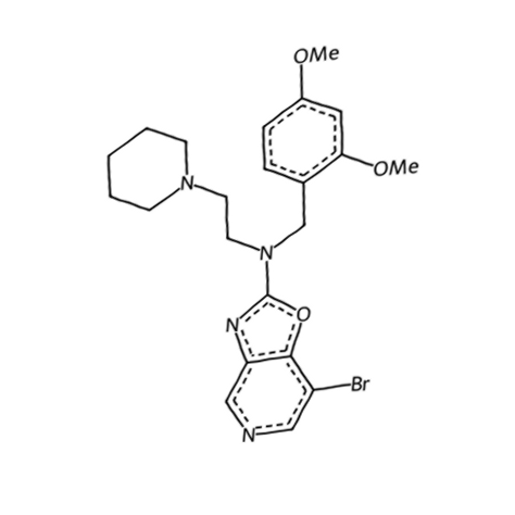 COc1ccc(CN(CCN2CCCCC2)c2nc3cncc(Br)c3o2)c(OC)c1